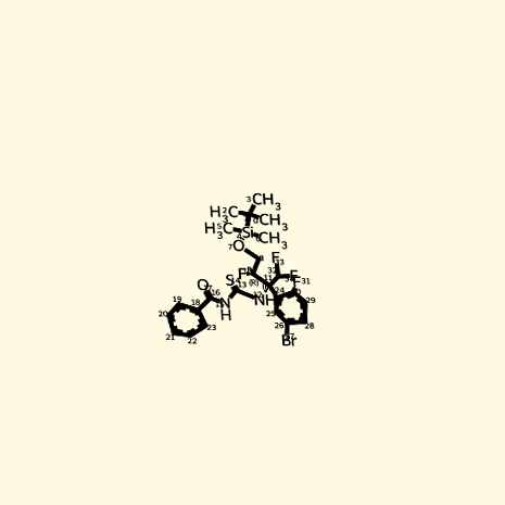 CC(C)(C)[Si](C)(C)OC[C@H](F)[C@](NC(=S)NC(=O)c1ccccc1)(c1cc(Br)ccc1F)C(F)F